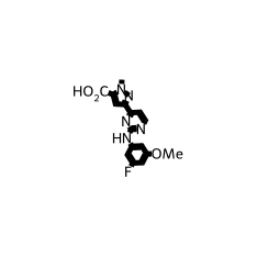 COc1cc(F)cc(Nc2nccc(-c3cc(C(=O)O)n(C)n3)n2)c1